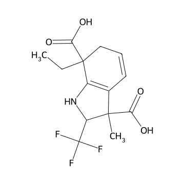 CCC1(C(=O)O)CC=CC2=C1NC(C(F)(F)F)C2(C)C(=O)O